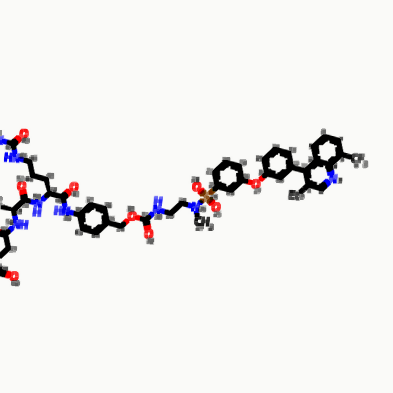 CCc1cnc2c(C(F)(F)F)cccc2c1-c1cccc(Oc2cccc(S(=O)(=O)N(C)CCNC(=O)OCc3ccc(NC(=O)[C@H](CCCNC(N)=O)NC(=O)[C@@H](NC(=O)CCC(=O)C(C)C)C(C)C)cc3)c2)c1